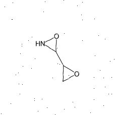 C1OC1C1NO1